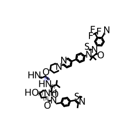 Cc1ncsc1-c1ccc(CNC(=O)[C@@H]2C[C@@H](O)CN2C(=O)[C@@H](N/C=C(\C=N)OC2CCN(c3ccc(-c4ccc(N5C(=S)N(c6ccc(C#N)c(C(F)(F)F)c6)C(=O)C5(C)C)cc4)cn3)CC2)C(C)C)cc1